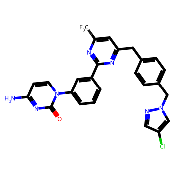 Nc1ccn(-c2cccc(-c3nc(Cc4ccc(Cn5cc(Cl)cn5)cc4)cc(C(F)(F)F)n3)c2)c(=O)n1